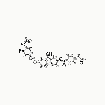 CC1c2cc(OCOc3ccc(CC4CO4)c(F)c3)ccc2-c2ccc(OC(=O)c3ccc(CC4CO4)cc3)cc21